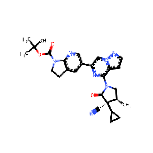 C[C@@H]1CN(c2nc(-c3cnc4c(c3)CCN4C(=O)OC(C)(C)C)cn3nccc23)C(=O)[C@]1(C#N)C1CC1